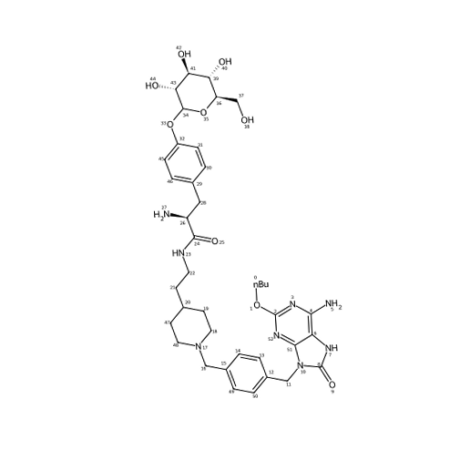 CCCCOc1nc(N)c2[nH]c(=O)n(Cc3ccc(CN4CCC(CCNC(=O)[C@@H](N)Cc5ccc(OC6O[C@H](CO)[C@@H](O)[C@H](O)[C@H]6O)cc5)CC4)cc3)c2n1